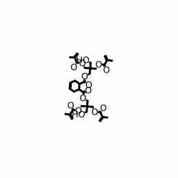 C=C(C)C(=O)OCC(CO)(COC(=O)C(=C)C)COC(=O)C1CC=CCC1C(=O)OCC(CO)(COC(=O)C(=C)C)COC(=O)C(=C)C